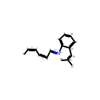 C\C=C/C=C\C=N\c1ccccc1C=C(C)C